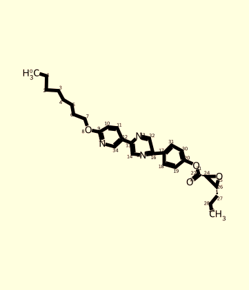 CCCCCCCCOc1ccc(-c2cnc(-c3ccc(OC(=O)[C@@H]4O[C@@H]4CCC)cc3)cn2)cn1